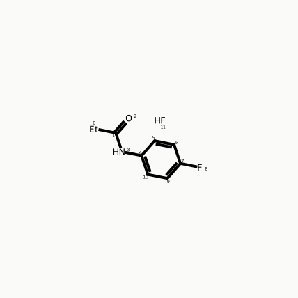 CCC(=O)Nc1ccc(F)cc1.F